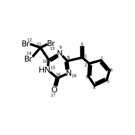 C=C(c1ccccc1)c1nc(C(Br)(Br)Br)[nH]c(=O)n1